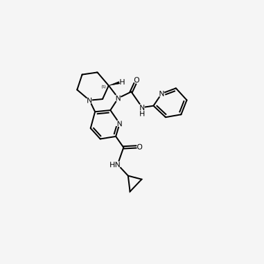 O=C(NC1CC1)c1ccc2c(n1)N(C(=O)Nc1ccccn1)[C@H]1CCCN2C1